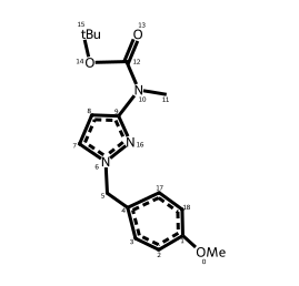 COc1ccc(Cn2ccc(N(C)C(=O)OC(C)(C)C)n2)cc1